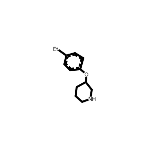 CCc1ccc(OC2CCCNC2)cc1